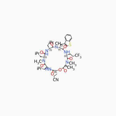 CC(C)C[C@@H]1NC(=O)[C@@H](CCC#N)OC(=O)[C@H](C)N(C)C(=O)[C@H](CCC(F)(F)F)NC(=O)[C@H](Cc2csc3ccccc23)N(C)C(=O)[C@H](CC(C)C)NC(=O)[C@H](CC(C)C)N(C)C1=O